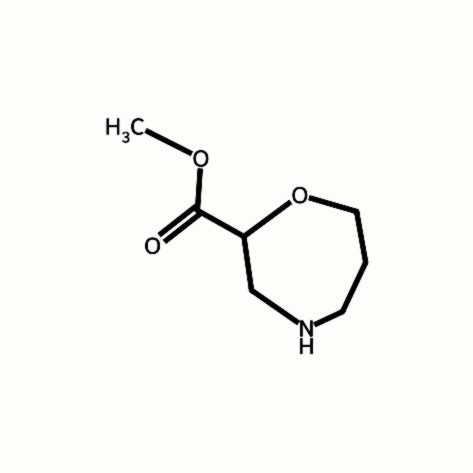 COC(=O)C1CNCCCO1